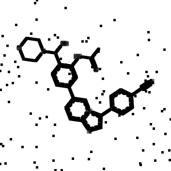 CC(=O)Nc1cc(-c2ccc3ncc(-c4ccc(C#N)cc4)n3c2)ccc1C(O)N1CCOCC1